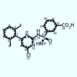 Cc1cccc(C)c1-c1cc(Cl)nc(NS(=N)(=O)c2cccc(C(=O)O)c2)n1